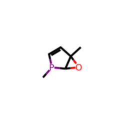 CP1C=CC2(C)OC12